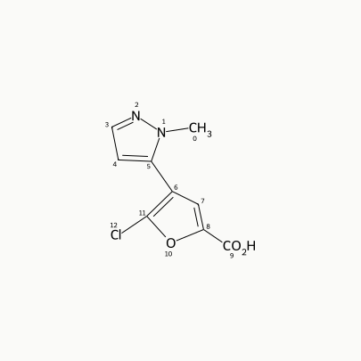 Cn1nccc1-c1cc(C(=O)O)oc1Cl